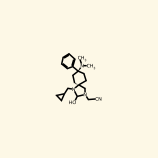 CN(C)[C@]1(c2ccccc2)CC[C@]2(CC1)CN(CC#N)C(O)N2CC1CC1